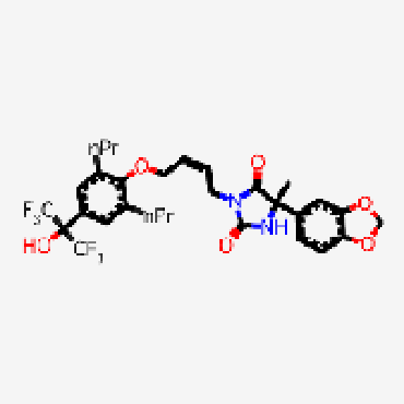 CCCc1cc(C(O)(C(F)(F)F)C(F)(F)F)cc(CCC)c1OC/C=C\CN1C(=O)NC(C)(c2ccc3c(c2)OCO3)C1=O